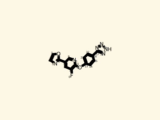 Fc1cc(-c2ncco2)cnc1Oc1ccc(-c2nn[nH]n2)cc1